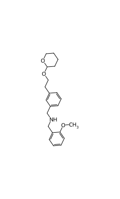 COc1ccccc1CNCc1cccc(CCOC2CCCCO2)c1